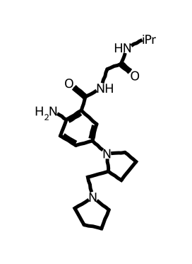 CC(C)NC(=O)CNC(=O)c1cc(N2CCCC2CN2CCCC2)ccc1N